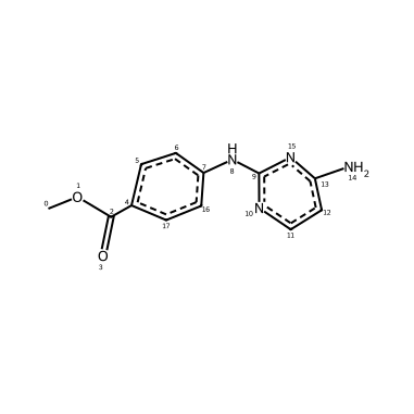 COC(=O)c1ccc(Nc2nccc(N)n2)cc1